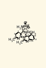 Cc1ccc(C(C)Nc2nc(C)nc3cccc(C)c23)nn1.N[SH](=O)=O